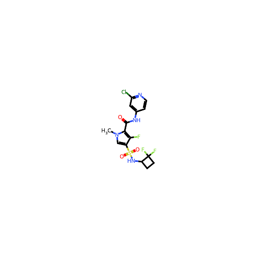 Cn1cc(S(=O)(=O)NC2CCC2(F)F)c(F)c1C(=O)Nc1ccnc(Cl)c1